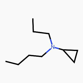 CCCCN(CCC)C1CC1